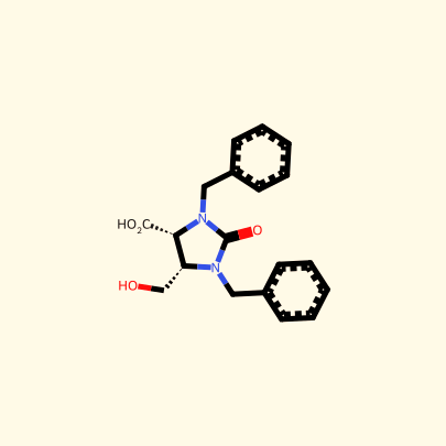 O=C(O)[C@H]1[C@@H](CO)N(Cc2ccccc2)C(=O)N1Cc1ccccc1